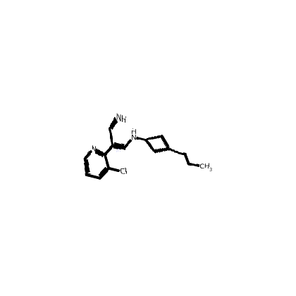 CCCC1CC(N/C=C(\C=N)c2ncccc2Cl)C1